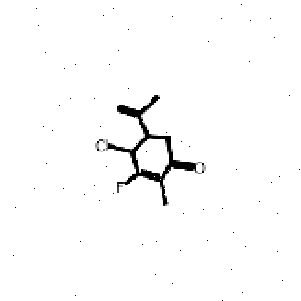 C=C(C)C1CC(=O)C(C)=C(F)C1Cl